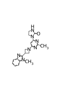 Cc1nc(N2CC(c3nc4ccccc4n3C)C2)cc(N2CCNC2=O)n1